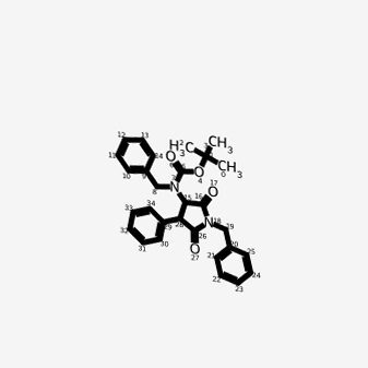 CC(C)(C)OC(=O)N(Cc1ccccc1)C1C(=O)N(Cc2ccccc2)C(=O)C1c1ccccc1